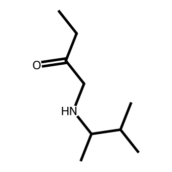 CCC(=O)CNC(C)C(C)C